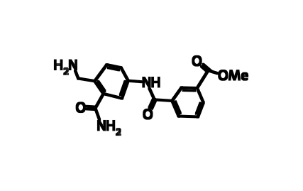 COC(=O)c1cccc(C(=O)Nc2ccc(CN)c(C(N)=O)c2)c1